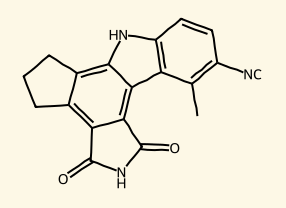 [C-]#[N+]c1ccc2[nH]c3c4c(c5c(c3c2c1C)C(=O)NC5=O)CCC4